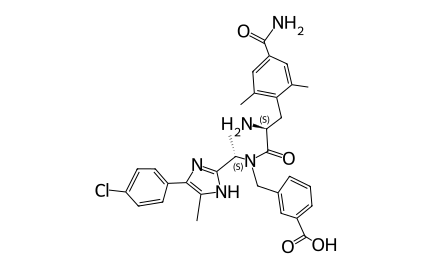 Cc1cc(C(N)=O)cc(C)c1C[C@H](N)C(=O)N(Cc1cccc(C(=O)O)c1)[C@@H](C)c1nc(-c2ccc(Cl)cc2)c(C)[nH]1